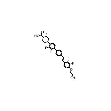 C=CCOc1ccc(/C=C/c2ccc(-c3ccc(C4CCC(C(C)O)CC4)c(F)c3F)cc2)c(F)c1F